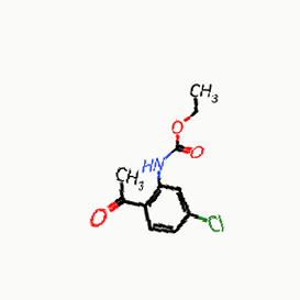 CCOC(=O)Nc1cc(Cl)ccc1C(C)=O